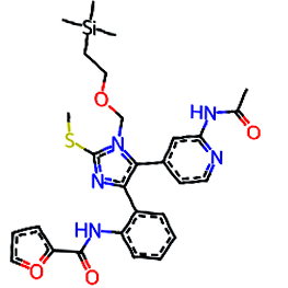 CSc1nc(-c2ccccc2NC(=O)c2ccco2)c(-c2ccnc(NC(C)=O)c2)n1COCC[Si](C)(C)C